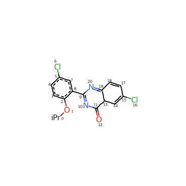 CC(C)Oc1ccc(Cl)cc1C1=NC(=O)C2C=C(Cl)C=CC2=N1